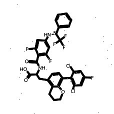 O=C(NC(Cc1ccc(-c2c(Cl)cc(F)cc2Cl)c2c1CCCO2)C(=O)O)c1c(F)cc(N[C@H](c2ccccc2)C(F)(F)F)cc1F